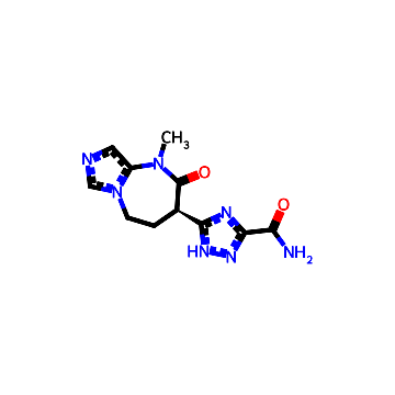 CN1C(=O)[C@@H](c2nc(C(N)=O)n[nH]2)CCn2cncc21